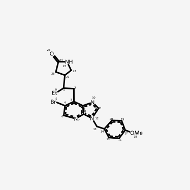 CCC(Cc1c(Br)cnc2c1ncn2Cc1ccc(OC)cc1)C1CNC(=O)C1